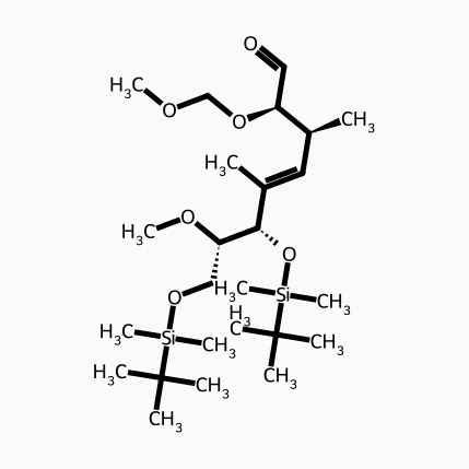 COCO[C@@H](C=O)[C@@H](C)/C=C(\C)[C@H](O[Si](C)(C)C(C)(C)C)[C@H](CO[Si](C)(C)C(C)(C)C)OC